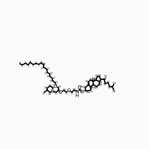 CCCCCCCC/C=C\CCCCCCCCOCC(CN1CCCC(C)C1)OCCOCCNC(=O)O[C@H]1CC[C@@]2(C)C(=CC[C@H]3C4CCC([C@@H](C)CCCC(C)C)[C@@]4(C)CCC32)C1